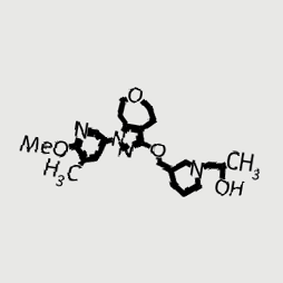 COc1ncc(-n2nc(OCC3CCCN(CC(C)O)C3)c3c2CCOCC3)cc1C